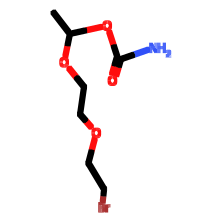 CC(OCCOCCBr)OC(N)=O